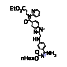 CCCCCCOC(=O)/N=C(/N)c1ccc(NCc2nc3c(n2C)C=CC(C(=O)N(CCC(=O)OCC)c2ccccn2)C3)cc1